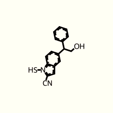 N#Cc1cc2cc(C(CO)c3ccccc3)ccc2n1S